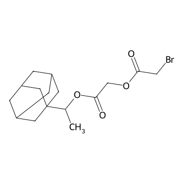 CC(OC(=O)COC(=O)CBr)C12CC3CC(CC(C3)C1)C2